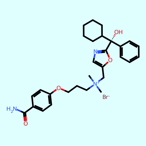 C[N+](C)(CCCOc1ccc(C(N)=O)cc1)Cc1cnc([C@](O)(c2ccccc2)C2CCCCC2)o1.[Br-]